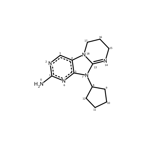 Nc1ncc2c(n1)N(C1CCCC1)C1=NCCCN12